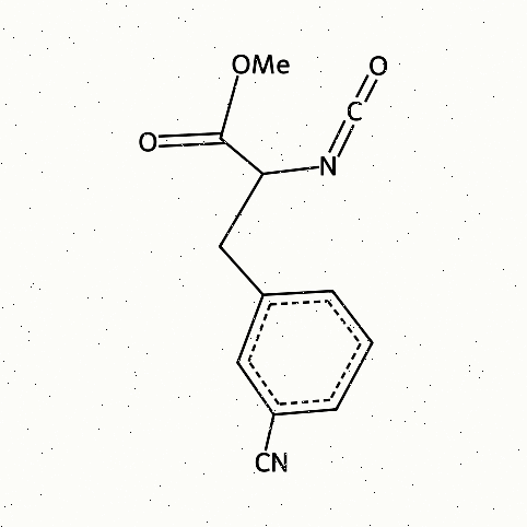 COC(=O)C(Cc1cccc(C#N)c1)N=C=O